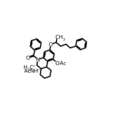 CC(=O)N[C@@]12CCCCC1c1c(OC(C)=O)cc(OC(C)CCCc3ccccc3)cc1N(C(=O)c1ccccc1)[C@H]2C